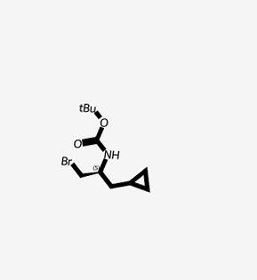 CC(C)(C)OC(=O)N[C@H](CBr)CC1CC1